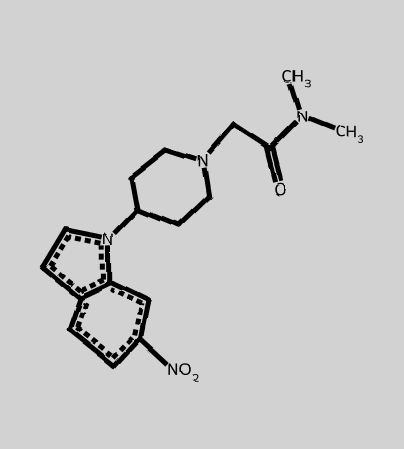 CN(C)C(=O)CN1CCC(n2ccc3ccc([N+](=O)[O-])cc32)CC1